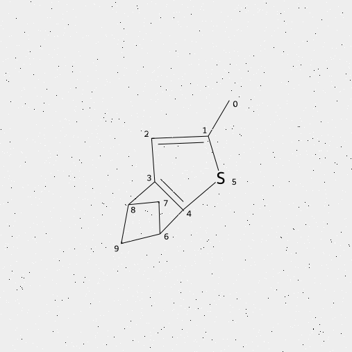 Cc1cc2c(s1)C1CC2C1